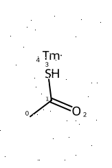 CC(=O)S.[Tm]